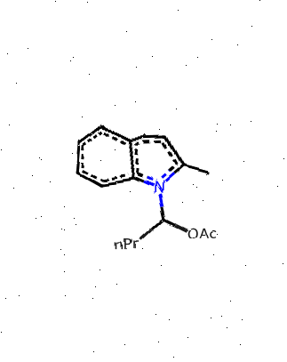 CCCC(OC(C)=O)n1c(C)cc2ccccc21